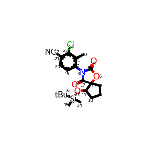 Cc1c(N2C(=O)OC3(CCCC3O[Si](C)(C)C(C)(C)C)C2=O)ccc(C#N)c1Cl